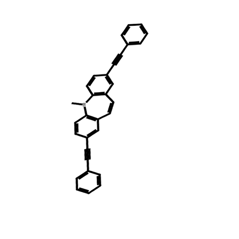 CB1c2ccc(C#Cc3ccccc3)cc2C=Cc2cc(C#Cc3ccccc3)ccc21